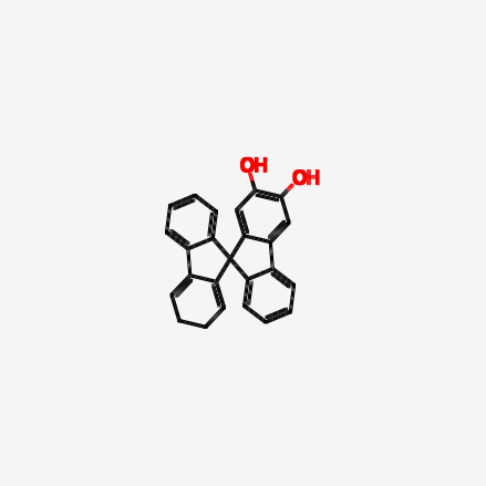 Oc1cc2c(cc1O)C1(C3=CCCC=C3c3ccccc31)c1ccccc1-2